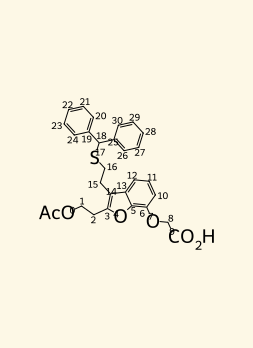 CC(=O)OCCc1oc2c(OCC(=O)O)cccc2c1CCSC(c1ccccc1)c1ccccc1